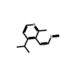 C=N/C=C\c1c(C(C)C)ccnc1C